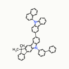 CC1(C)c2ccccc2-c2cc3c(cc21)c1cc(-c2ccc4c(c2)c2ccccc2n4-c2cccc4ccccc24)ccc1n3-c1cccc(-c2ccccc2)c1